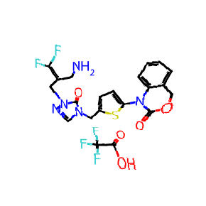 NCC(Cn1ncn(Cc2ccc(N3C(=O)OCc4ccccc43)s2)c1=O)=C(F)F.O=C(O)C(F)(F)F